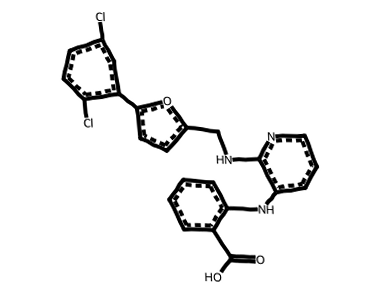 O=C(O)c1ccccc1Nc1cccnc1NCc1ccc(-c2cc(Cl)ccc2Cl)o1